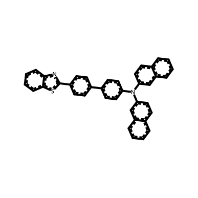 c1ccc2cc(N(c3ccc(-c4ccc(-c5nc6ccccc6s5)cc4)cc3)c3ccc4ccccc4c3)ccc2c1